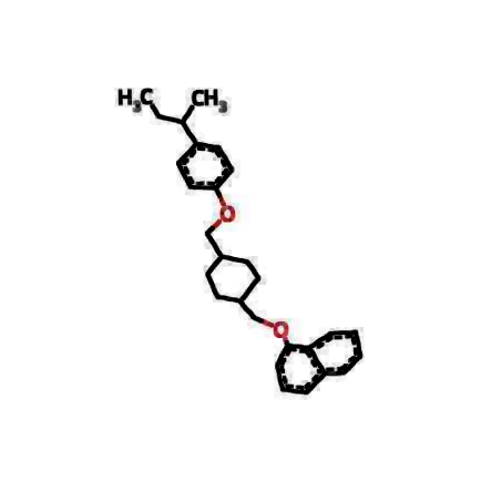 CCC(C)c1ccc(OCC2CCC(COc3cccc4ccccc34)CC2)cc1